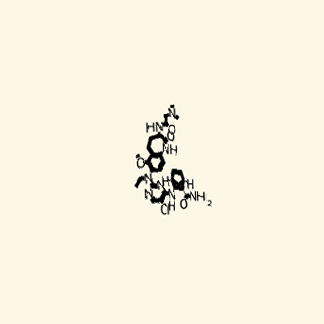 CCN(c1ncc(Cl)c(N[C@H]2[C@@H](C(N)=O)[C@@H]3C=C[C@H]2C3)n1)c1ccc2c(c1OC)CC[C@@H](NC(=O)CN(C)C)C(=O)N2